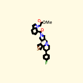 COC(=O)Cn1ccc2cccc(C(=O)N3C[C@@H](CN4CCC(c5ccc(F)cc5)CC4)[C@H](c4ccsc4)C3)c21